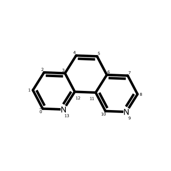 [c]1ccc2ccc3ccncc3c2n1